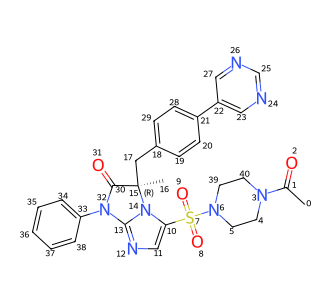 CC(=O)N1CCN(S(=O)(=O)c2cnc3n2[C@](C)(Cc2ccc(-c4cncnc4)cc2)C(=O)N3c2ccccc2)CC1